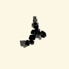 CC1(O)CN(C(=O)N2CC[C@](C)(N3CCc4c(-c5cnc(N)nc5)nc(N5CCOCC5)nc43)C2)C1